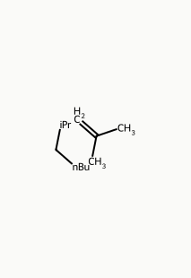 C=C(C)C.CCCCCC(C)C